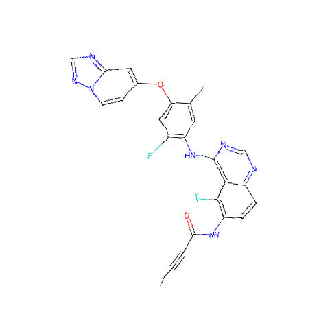 CC#CC(=O)Nc1ccc2ncnc(Nc3cc(C)c(Oc4ccn5ncnc5c4)cc3F)c2c1F